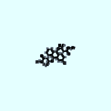 CC(C)OC(=O)CC(C)Oc1c2ccccc2c(OC(C)CC(=O)OC(C)C)c2cc(Cl)ccc12